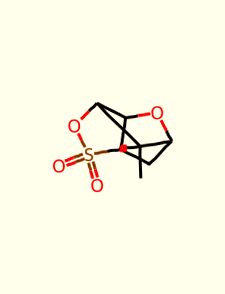 CC1(C)C2CC3C(O2)C1OS3(=O)=O